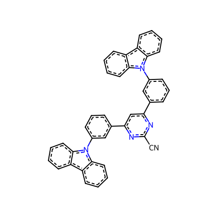 N#Cc1nc(-c2cccc(-n3c4ccccc4c4ccccc43)c2)cc(-c2cccc(-n3c4ccccc4c4ccccc43)c2)n1